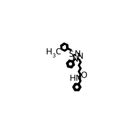 CC1C=CC=C(CSc2nnc(CCCCC(=O)NCc3ccccc3)n2-c2ccccc2)C1